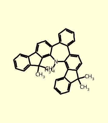 CN1c2c(ccc3c2-c2ccccc2C3(C)C)-c2ccccc2-c2ccc3c(c21)C(C)(C)c1ccccc1-3